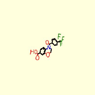 O=C(O)c1ccc2c(c1)OCCN2C(=O)c1ccc(C(F)(F)F)cc1